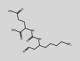 NCCCCC(CC=O)NC(=O)NC(CCC(=O)O)C(=O)O